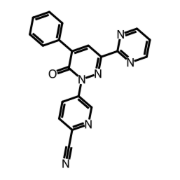 N#Cc1ccc(-n2nc(-c3ncccn3)cc(-c3ccccc3)c2=O)cn1